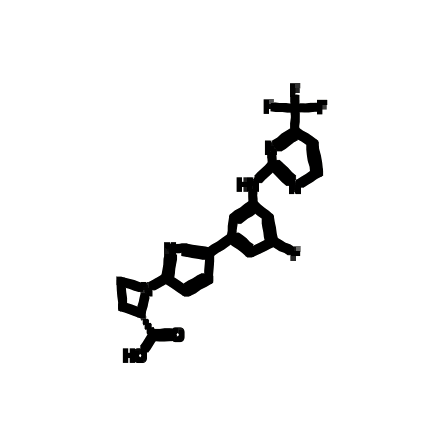 O=C(O)[C@@H]1CCN1c1ccc(-c2cc(F)cc(Nc3nccc(C(F)(F)F)n3)c2)cn1